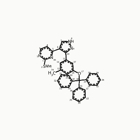 CSc1nccc(-c2c[nH]nc2-c2cc(C)cc(OC(c3ccccc3)(c3ccccc3)c3ccccc3)c2)n1